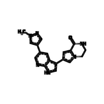 Cn1cc(-c2cnc3[nH]cc(-c4cc5n(c4)CCNC5=O)c3c2)cn1